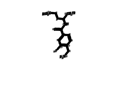 CCOC(=O)CCC(NC(=O)c1ccc(CN)c(F)c1)C(=O)OCC